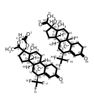 CC(=O)O[C@]1(C(C)=O)CC[C@H]2[C@@H]3C[C@H](C(F)(F)F)C4=CC(=O)CC[C@]4(C)[C@H]3CC[C@@]21C.CC(=O)[C@@]1(O)CC[C@H]2[C@@H]3C[C@H](C(F)(F)F)C4=CC(=O)CC[C@]4(C)[C@H]3CC[C@@]21C